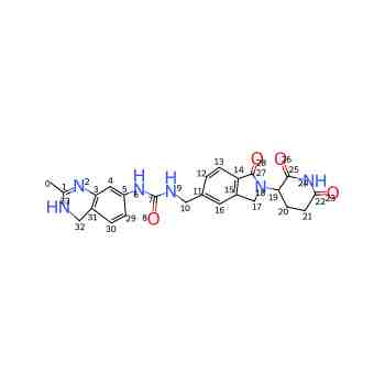 CC1=Nc2cc(NC(=O)NCc3ccc4c(c3)CN(C3CCC(=O)NC3=O)C4=O)ccc2CN1